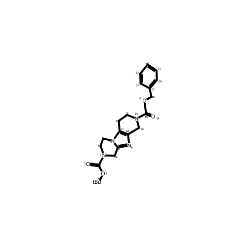 CC(C)(C)OC(=O)N1CCn2c(nc3c2CCN(C(=O)OCc2ccccc2)C3)C1